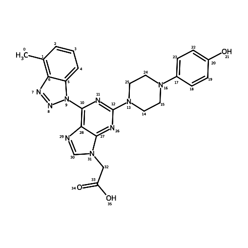 Cc1cccc2c1nnn2-c1nc(N2CCN(c3ccc(O)cc3)CC2)nc2c1ncn2CC(=O)O